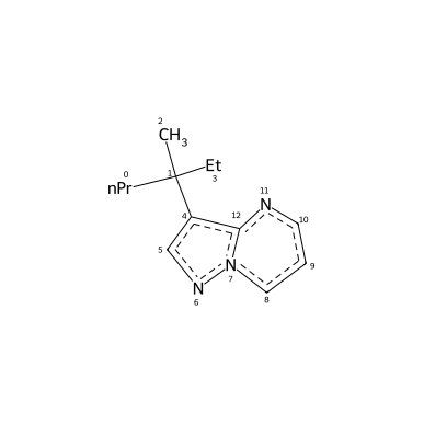 CCCC(C)(CC)c1cnn2cccnc12